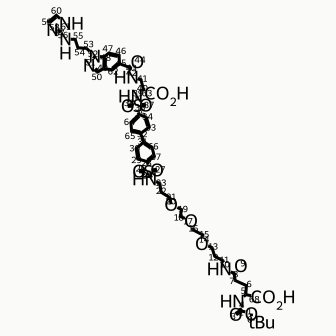 CC(C)(C)OC(=O)NC(CCC(=O)NCCCOCCOCCOCCCNS(=O)(=O)c1ccc(-c2ccc(S(=O)(=O)NC(CNC(=O)c3ccc4c(cnn4CCCNc4ncc[nH]4)c3)C(=O)O)cc2)cc1)C(=O)O